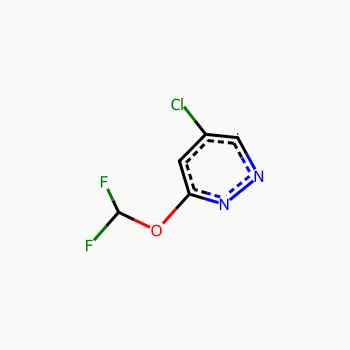 FC(F)Oc1cc(Cl)[c]nn1